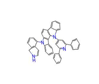 C1=Cc2c(cccc2-n2c3ccccc3c3c2ccc2c4ccccc4n(-c4cc(-c5ccccc5)nc(-c5ccccc5)c4)c23)CN1